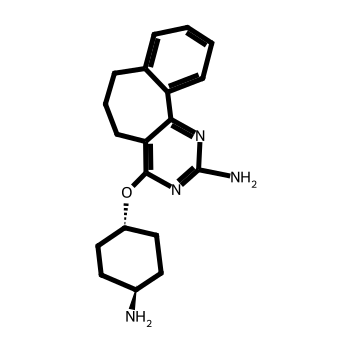 Nc1nc(O[C@H]2CC[C@H](N)CC2)c2c(n1)-c1ccccc1CCC2